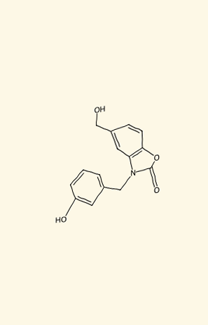 O=c1oc2ccc(CO)cc2n1Cc1cccc(O)c1